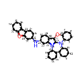 c1ccc(N2c3ccccc3Oc3c2n(-c2ccccc2)c2cc(Nc4ccc5c(c4)oc4ccccc45)ccc32)cc1